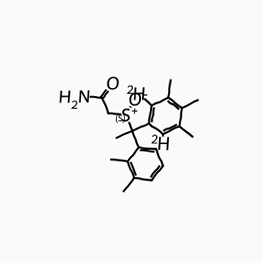 [2H]c1c(C)c(C)c(C)c([2H])c1C(C)(c1cccc(C)c1C)[S@+]([O-])CC(N)=O